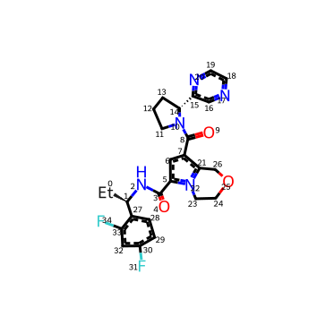 CC[C@@H](NC(=O)c1cc(C(=O)N2CCC[C@@H]2c2cnccn2)c2n1CCOC2)c1ccc(F)cc1F